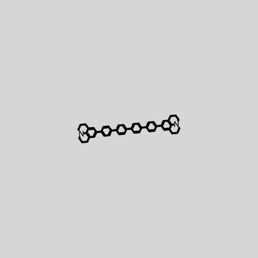 c1cc(-c2ccc(-c3cc4c5c(c3)CCCN5CCC4)cc2)ccc1-c1ccc(-c2ccc(-c3cc4c5c(c3)CCCN5CCC4)cc2)cc1